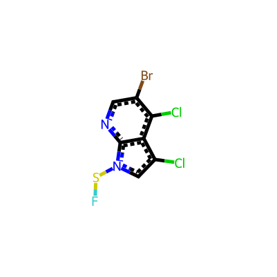 FSn1cc(Cl)c2c(Cl)c(Br)cnc21